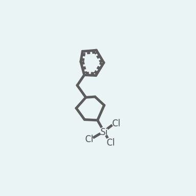 Cl[Si](Cl)(Cl)C1CCC(Cc2ccccc2)CC1